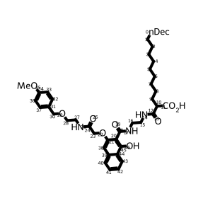 CCCCCCCCCCCCCCCCCCCC(C(=O)O)C(=O)NCCNC(=O)c1c(OCC(=O)NCCOCc2ccc(OC)cc2)cc2ccccc2c1O